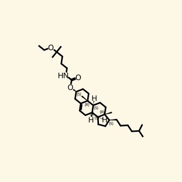 CCOC(C)(C)CCCNC(=O)O[C@H]1CC[C@@]2(C)C(=CC[C@H]3[C@@H]4CC[C@H](CCCCC(C)C)[C@@]4(C)CC[C@@H]32)C1